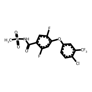 CS(=O)(=O)NC(=O)c1cc(F)c(Oc2ccc(Cl)c(C(F)(F)F)c2)cc1F